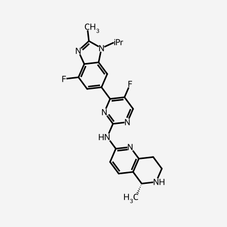 Cc1nc2c(F)cc(-c3nc(Nc4ccc5c(n4)CCN[C@@H]5C)ncc3F)cc2n1C(C)C